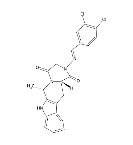 C[C@H]1c2[nH]c3ccccc3c2C[C@H]2C(=O)N(/N=C/c3ccc(Cl)c(Cl)c3)CC(=O)N21